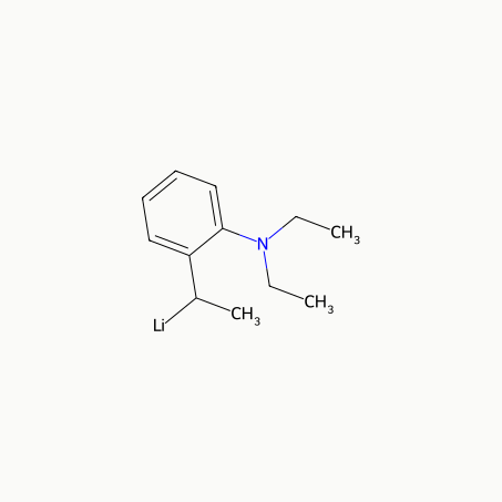 [Li][CH](C)c1ccccc1N(CC)CC